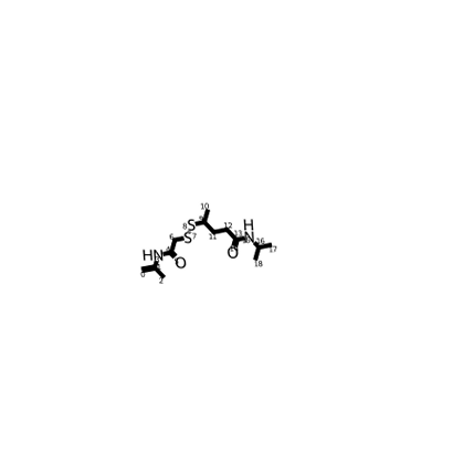 C=C(C)NC(=O)CSSC(C)CCC(=O)NC(C)C